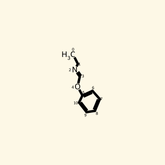 CC/N=C/Oc1ccccc1